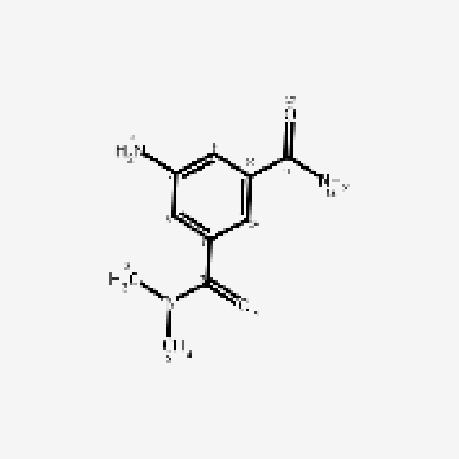 CN(C)C(=O)c1cc(N)cc(C(N)=O)c1